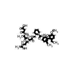 C=C1CC[C@]23c4c(CC)ccc(OC)c4O[C@@H]2C(OC(=O)N2CCCC[C@H]2CNC(=O)[C@H](CCCNC(=N)N)NC(=O)[C@H](C)NC(=O)CC(=O)O)=CCC13